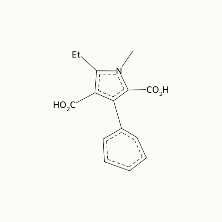 CCc1c(C(=O)O)c(-c2ccccc2)c(C(=O)O)n1C